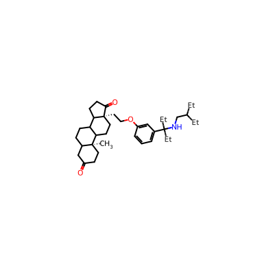 CCC(CC)CNC(CC)(CC)c1cccc(OCC[C@]23CCC4C(CCC5CC(=O)CC[C@@]54C)C2CCC3=O)c1